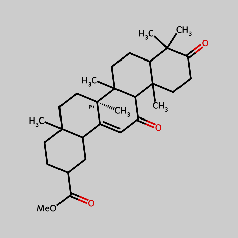 COC(=O)C1CCC2(C)CC[C@]3(C)C(=CC(=O)C4C5(C)CCC(=O)C(C)(C)C5CCC43C)C2C1